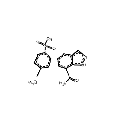 Cc1ccc(S(=O)(=O)O)cc1.NC(=O)c1cccc2cn[nH]c12.O